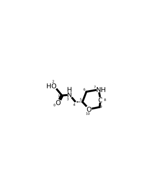 O=C(O)NC[C@@H]1CNCCO1